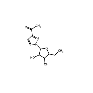 CCC1OC(n2cnc(C(C)=O)n2)C(O)C1O